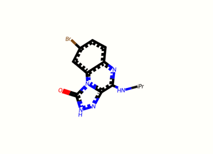 CC(C)Nc1nc2ccc(Br)cc2n2c(=O)[nH]nc12